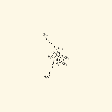 CCCCCCCCCCC(C)c1cc(SC(C)(C)CC(C)(C)C)cc(C(C)CCCCCCCCCC)c1O